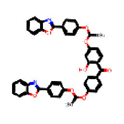 CC(C)(C)C(Oc1ccc(C(=O)c2ccc(OC(Oc3ccc(-c4nc5ccccc5o4)cc3)C(C)(C)C)cc2O)cc1)Oc1ccc(-c2nc3ccccc3o2)cc1